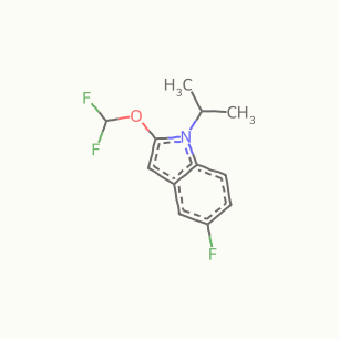 CC(C)n1c(OC(F)F)cc2cc(F)ccc21